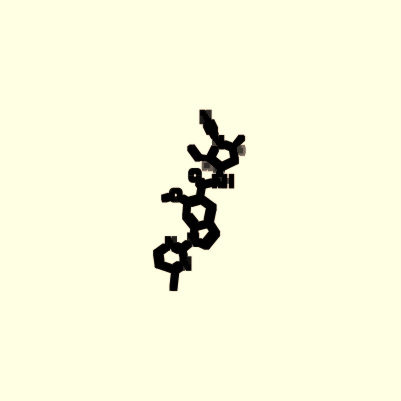 CC[C@@H]1[C@H](NC(=O)c2cc3ccn(-c4nccc(C)n4)c3cc2OC)C[C@H](C)N1C#N